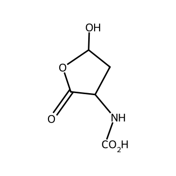 O=C(O)NC1CC(O)OC1=O